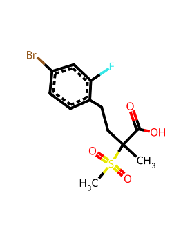 CC(CCc1ccc(Br)cc1F)(C(=O)O)S(C)(=O)=O